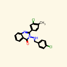 Cc1ccc(-c2nc3ccccc3c(=O)n2NCc2ccc(Cl)cc2)cc1Cl